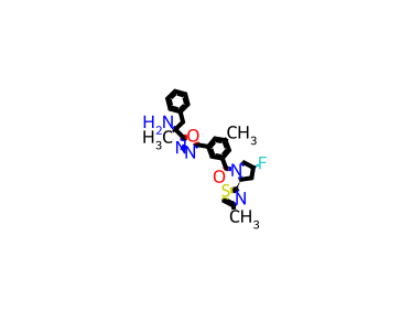 Cc1cc(C(=O)N2C[C@@H](F)C[C@@H]2c2nc(C)cs2)cc(-c2nnc([C@](C)(N)Cc3ccccc3)o2)c1